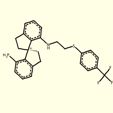 FC(F)(F)c1ccc(SCCNc2cccc3c2[C@]2(CCc4cccc(P)c42)CC3)cc1